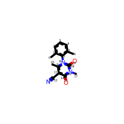 Cc1cccc(C)c1-n1c(C)c(C#N)c(=O)n(C)c1=O